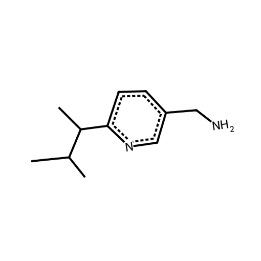 CC(C)C(C)c1ccc(CN)cn1